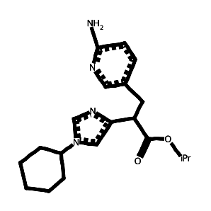 CC(C)OC(=O)C(Cc1ccc(N)nc1)c1cn(C2CCCCC2)cn1